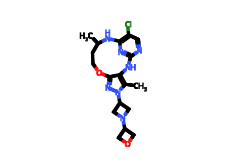 Cc1c2c(nn1C1CN(C3COC3)C1)OCCC(C)Nc1nc(ncc1Cl)N2